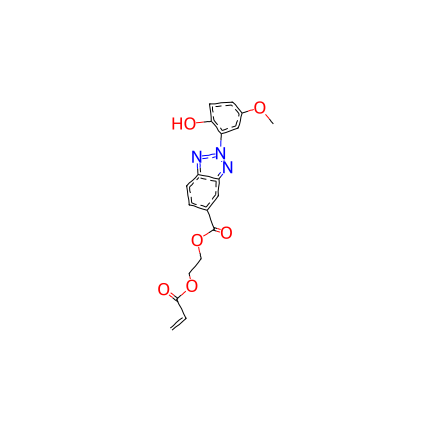 C=CC(=O)OCCOC(=O)c1ccc2nn(-c3cc(OC)ccc3O)nc2c1